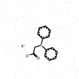 O=C([O-])CP(c1ccccc1)c1ccccc1.[K+]